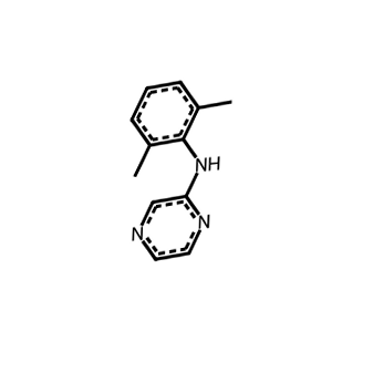 Cc1cccc(C)c1Nc1cnccn1